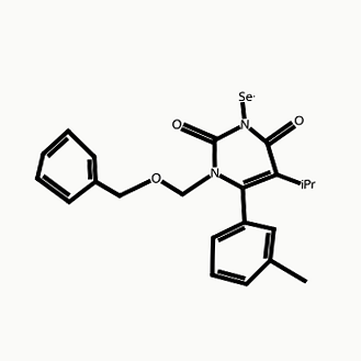 Cc1cccc(-c2c(C(C)C)c(=O)n([Se])c(=O)n2COCc2ccccc2)c1